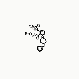 CCOC(=O)C(=O)c1c(NC(=O)C(C)(C)C)cccc1N1CCN(Cc2ccccc2)CC1